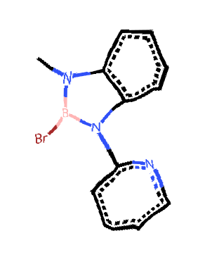 CN1B(Br)N(c2ccccn2)c2ccccc21